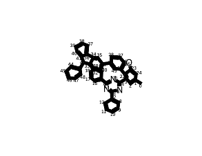 Cc1cc(-c2nc(-c3ccccc3)nc(-c3ccccc3)n2)c2c(c1)oc1ccc(-c3ccc4c(c3)-c3ccccc3C4c3ccccc3)cc12